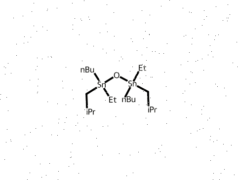 CCC[CH2][Sn]([CH2]C)([CH2]C(C)C)[O][Sn]([CH2]C)([CH2]CCC)[CH2]C(C)C